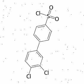 O=S(=O)(Cl)c1ccc(-c2ccc(Cl)c(Cl)c2)cc1